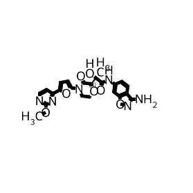 COc1nccc(-c2ccc(N3CCO[C@H](C(C)(O)C(=O)Nc4ccc5c(N)noc5c4)C3=O)o2)n1